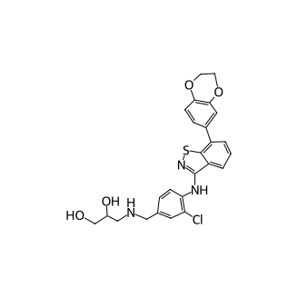 OCC(O)CNCc1ccc(Nc2nsc3c(-c4ccc5c(c4)OCCO5)cccc23)c(Cl)c1